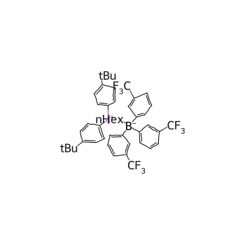 CC(C)(C)c1ccc([I+]c2ccc(C(C)(C)C)cc2)cc1.CCCCCC[B-](c1cccc(C(F)(F)F)c1)(c1cccc(C(F)(F)F)c1)c1cccc(C(F)(F)F)c1